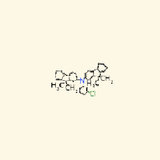 CC1(C)c2ccccc2-c2ccc(N(c3cccc(Cl)c3)c3ccc4c(c3)C(C)(C)c3ccccc3-4)cc21